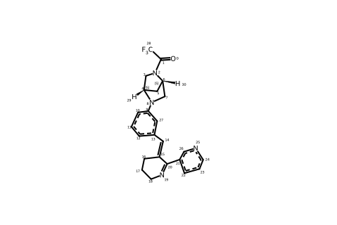 O=C(N1C[C@@H]2C[C@H]1CN2c1cccc(C=C2CCCN=C2c2cccnc2)c1)C(F)(F)F